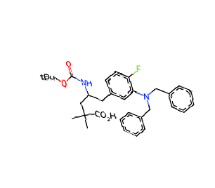 CC(C)(C)OC(=O)NC(Cc1ccc(F)c(N(Cc2ccccc2)Cc2ccccc2)c1)CC(C)(C)C(=O)O